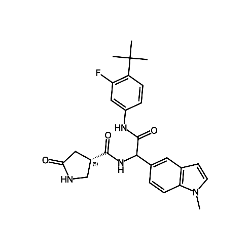 Cn1ccc2cc(C(NC(=O)[C@@H]3CNC(=O)C3)C(=O)Nc3ccc(C(C)(C)C)c(F)c3)ccc21